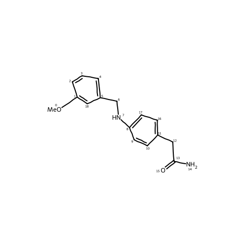 COc1cccc(CNc2ccc(CC(N)=O)cc2)c1